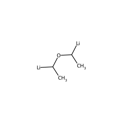 [Li][CH](C)O[CH]([Li])C